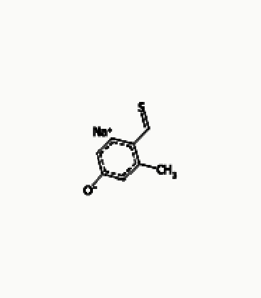 Cc1cc([O-])ccc1C=S.[Na+]